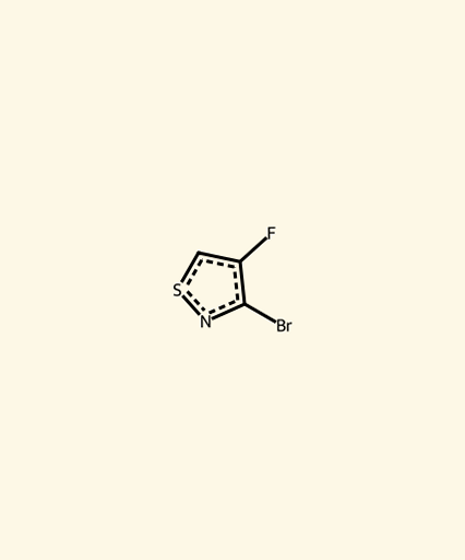 Fc1csnc1Br